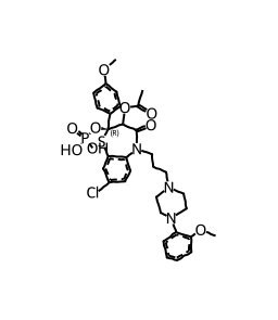 COc1ccc([C@@]2(OP(=O)(O)O)Sc3cc(Cl)ccc3N(CCCN3CCN(c4ccccc4OC)CC3)C(=O)C2OC(C)=O)cc1